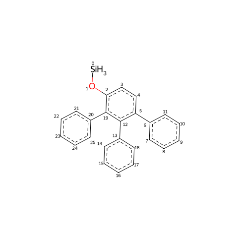 [SiH3]Oc1ccc(-c2ccccc2)c(-c2ccccc2)c1-c1ccccc1